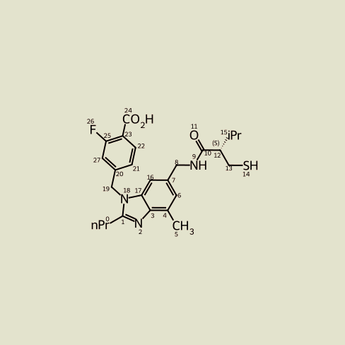 CCCc1nc2c(C)cc(CNC(=O)[C@@H](CS)C(C)C)cc2n1Cc1ccc(C(=O)O)c(F)c1